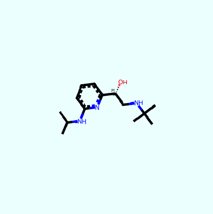 CC(C)Nc1cccc([C@H](O)CNC(C)(C)C)n1